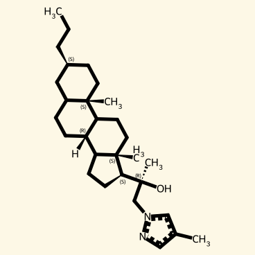 CCC[C@H]1CC[C@@]2(C)C(CC[C@@H]3C2CC[C@@]2(C)C3CC[C@@H]2[C@@](C)(O)Cn2cc(C)cn2)C1